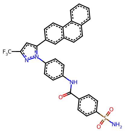 NS(=O)(=O)c1ccc(C(=O)Nc2ccc(-n3nc(C(F)(F)F)cc3-c3ccc4c(ccc5ccccc54)c3)cc2)cc1